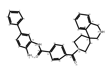 Nc1ccc(-c2ccccc2)cc1NC(=O)c1ccc(C(=O)N2CCC3(CC2)CNCc2ccccc23)cc1